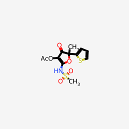 CC(=O)OC1=C(NS(C)(=O)=O)OC(C)(c2cccs2)C1=O